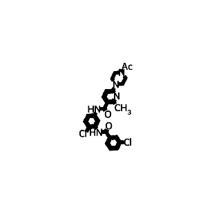 CC(=O)N1CCN(c2ccc(C(=O)Nc3ccc(Cl)c(NC(=O)c4cccc(Cl)c4)c3)c(C)n2)CC1